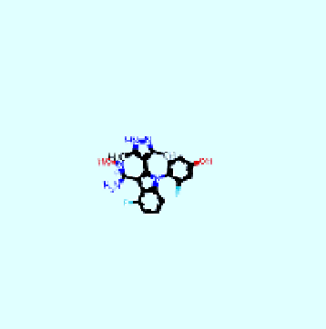 Cc1n[nH]c(C)c1-c1c(/C(N)=N/O)c2c(F)cccc2n1-c1ccc(O)cc1F